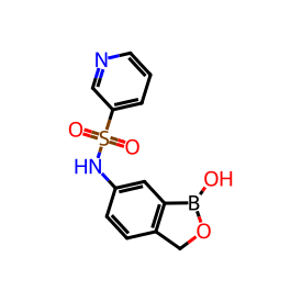 O=S(=O)(Nc1ccc2c(c1)B(O)OC2)c1cccnc1